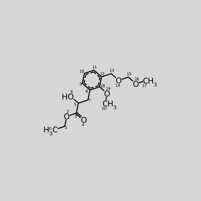 CCOC(=O)C(O)Cc1cccc(COCOC)c1OC